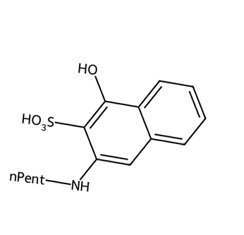 CCCCCNc1cc2ccccc2c(O)c1S(=O)(=O)O